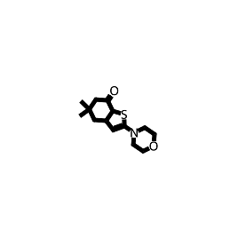 CC1(C)CC(=O)C2SC(N3CCOCC3)=CC2C1